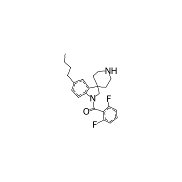 CCCCc1ccc2c(c1)C1(CCNCC1)CN2C(=O)c1c(F)cccc1F